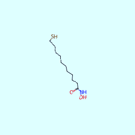 O=C(CCCCCCCCCCS)NO